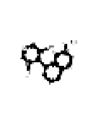 O=C(O)c1ccc2cccc(-c3c(F)cncc3Cl)c2c1